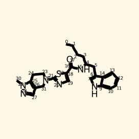 CCCCC(Cc1c[nH]c2ccccc12)NC(=O)c1cnc(N2CCc3c(cnn3C)C2)s1